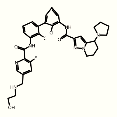 O=C(Nc1cccc(-c2cccc(NC(=O)c3ncc(CNCCO)cc3F)c2Cl)c1Cl)c1cc2n(n1)CCCC2N1CCCC1